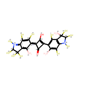 Bc1c(S)c2c(c(S)c1C1=C(O)/C(=c3/c(B)c4c(c(S)c3S)=[N+](S)C(S)C4(S)S)C1=O)C(B)(S)C(S)N2S